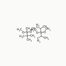 CO[Si](C)(OC)C(C)(C)C.CO[Si](OC)(C(C)C)C(C)C